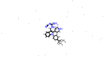 CC(C)C1CCC(n2c(C3CCNCC3)c(CN/C(N)=N\C#N)c3ccccc32)CC1